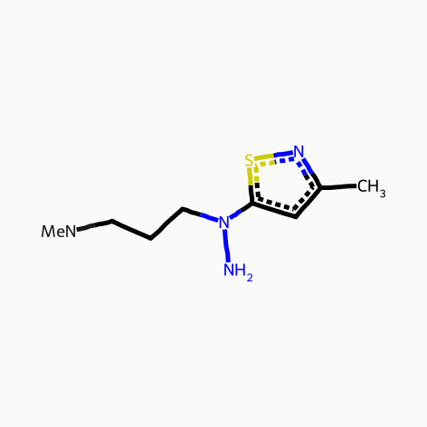 CNCCCN(N)c1cc(C)ns1